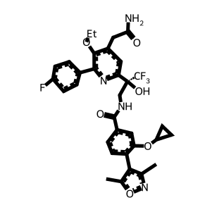 CCOc1c(CC(N)=O)cc([C@@](O)(CNC(=O)c2ccc(-c3c(C)noc3C)c(OC3CC3)c2)C(F)(F)F)nc1-c1ccc(F)cc1